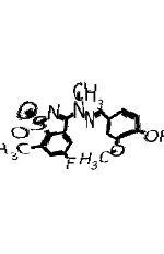 COc1cc(/C=N/N(C)C2=NS(=O)(=O)c3c(C)cc(F)cc32)ccc1O